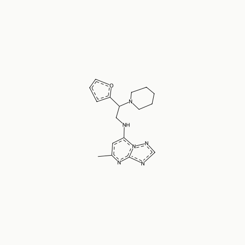 Cc1cc(NCC(c2ccco2)N2CCCCC2)n2ncnc2n1